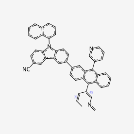 C=N/C=C(\C=C/C)c1c2ccccc2c(-c2cccnc2)c2cc(-c3ccc4c(c3)c3cc(C#N)ccc3n4-c3cccc4ccccc34)ccc12